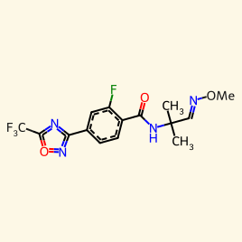 CON=CC(C)(C)NC(=O)c1ccc(-c2noc(C(F)(F)F)n2)cc1F